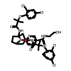 CC(C)(Oc1ccc(Cl)cc1Cl)C(=O)NC1CC2CCC(NC(=O)C(C)(C)Oc3ccc(Cl)cc3Cl)(C1)N2c1ccc(C(=O)NCCO)cn1